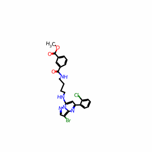 COC(=O)c1cccc(C(=O)NCCCCNc2cc(-c3ccccc3Cl)nc3c(Br)cnn23)c1